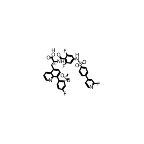 CS(=O)(=O)c1cc(F)ccc1-c1ccc(C[C@H](NC(=O)c2c(F)cc(NS(=O)(=O)c3ccc(-c4ccnc(F)c4)cc3)cc2F)C(=O)O)c2cccnc12